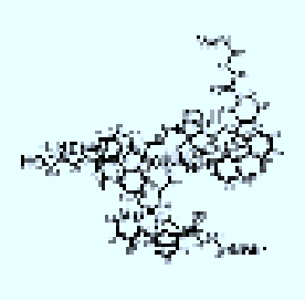 CCc1cccc(-c2c(F)cccc2C(O)(CCCN(C(=O)O)C(CCCC(O)(c2cccc(F)c2-c2cc(C)ccc2F)C2CCCN(C(=O)CCCNC)C2)(CC(=O)NCCCC(O)(c2cccc(F)c2-c2cccc(C)c2)C2CCCN(C(=O)CCCNC)C2)C(N)=O)C2CCCN(C(=O)CCC(N)CO)C2)c1